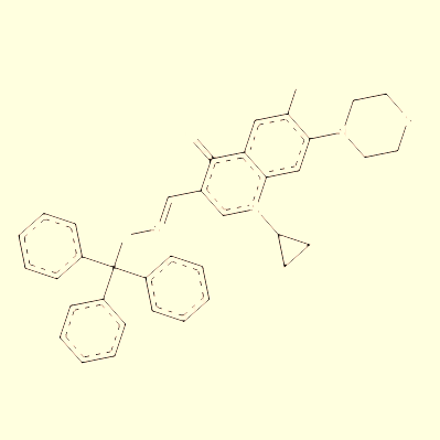 O=c1c(/C=N/OC(c2ccccc2)(c2ccccc2)c2ccccc2)cn(C2CC2)c2cc(N3CCNCC3)c(F)cc12